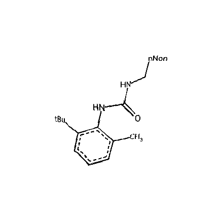 CCCCCCCCCCNC(=O)Nc1c(C)cccc1C(C)(C)C